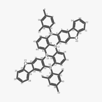 Cc1ccc(B2c3cc4c(cc3N3c5cccc6c5N(c5cc7oc8ccccc8c7cc5B6c5c(C)cc(C)cc5C)c5cccc2c53)oc2ccccc24)c(C)c1